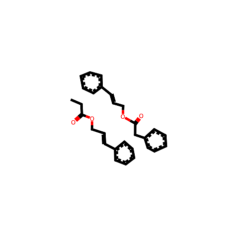 CCC(=O)OC/C=C/c1ccccc1.O=C(Cc1ccccc1)OC/C=C/c1ccccc1